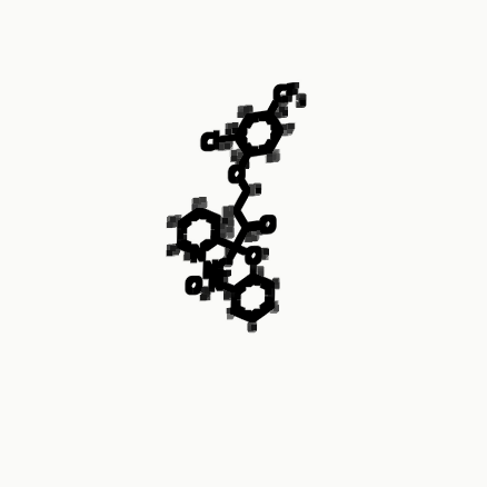 N#CC(Oc1ccccc1[N+](=O)[O-])(C(=O)CCOc1ccc(C(F)(F)F)cc1Cl)c1ccccn1